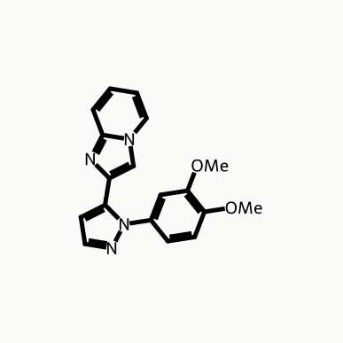 COc1ccc(-n2nccc2-c2cn3ccccc3n2)cc1OC